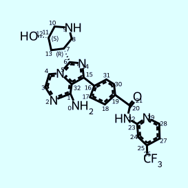 Nc1nccn2c([C@H]3CNC[C@@H](O)C3)nc(-c3ccc(C(=O)Nc4cc(C(F)(F)F)ccn4)cc3)c12